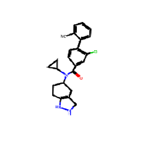 N#Cc1ccccc1-c1ccc(C(=O)N(C2CC2)C2CCC3=C(CNN3)C2)cc1Cl